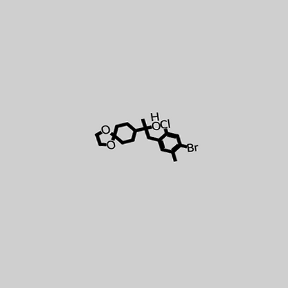 Cc1cc(CC(C)(O)C2CCC3(CC2)OCCO3)c(Cl)cc1Br